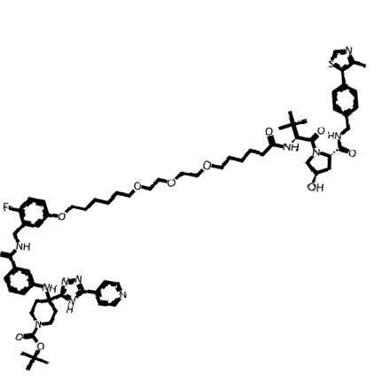 Cc1ncsc1-c1ccc(CNC(=O)[C@@H]2C[C@@H](O)CN2C(=O)[C@H](NC(=O)CCCCCOCCOCCOCCCCCCOc2ccc(F)c(CNC(=O)c3cccc(NC4(c5nnc(-c6ccncc6)[nH]5)CCN(C(=O)OC(C)(C)C)CC4)c3)c2)C(C)(C)C)cc1